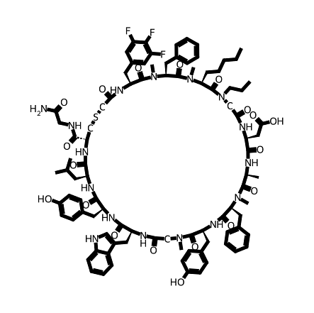 CCCCC[C@H]1C(=O)N(CCC)CC(=O)N[C@@H](CC(=O)O)C(=O)N[C@@H](C)C(=O)N(C)[C@@H](Cc2ccccc2)C(=O)N[C@@H](Cc2ccc(O)cc2)C(=O)N(C)CC(=O)N[C@@H](Cc2c[nH]c3ccccc23)C(=O)N[C@@H](Cc2ccc(O)cc2)C(=O)N[C@@H](CC(C)C)C(=O)N[C@H](C(=O)NCC(N)=O)CSCC(=O)N[C@@H](Cc2cc(F)c(F)c(F)c2)C(=O)N(C)[C@@H](Cc2ccccc2)C(=O)N1C